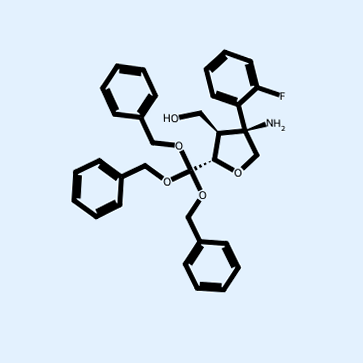 N[C@@]1(c2ccccc2F)CO[C@H](C(OCc2ccccc2)(OCc2ccccc2)OCc2ccccc2)[C@H]1CO